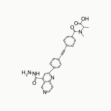 CC(C(=O)O)N(C)C(=O)c1ccc(C#Cc2ccc(-c3cc(C(=O)NN)c4cnccc4n3)cc2)cc1